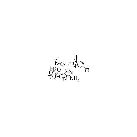 CC(C)N(C[C@H]1O[C@@H](C2C=Nc3c(N)ncnc32)[C@@H]2OC(C)(C)O[C@@H]21)C1CC(CCc2nc3cc(C4CCC4)ccc3[nH]2)C1